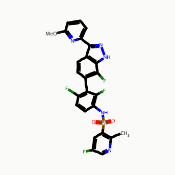 COc1cccc(-c2n[nH]c3c(F)c(-c4c(F)ccc(NS(=O)(=O)c5cc(F)cnc5C)c4F)ccc23)n1